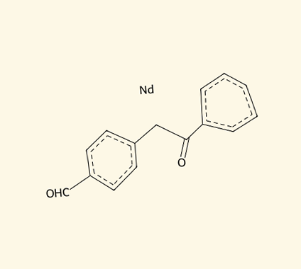 O=Cc1ccc(CC(=O)c2ccccc2)cc1.[Nd]